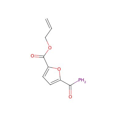 C=CCOC(=O)c1ccc(C(=O)P)o1